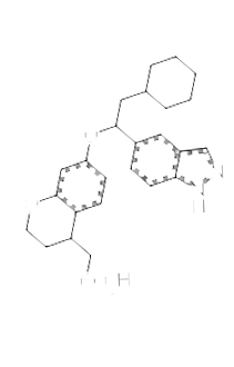 O=C(O)CC1CCOc2cc(OC(CC3CCCCC3)c3ccc4[nH]ncc4c3)ccc21